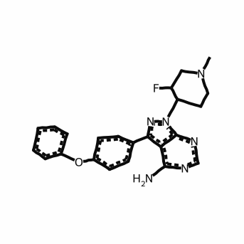 CN1CCC(n2nc(-c3ccc(Oc4ccccc4)cc3)c3c(N)ncnc32)C(F)C1